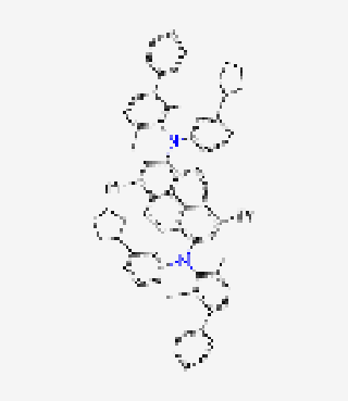 Cc1ccc(-c2ccccc2)c(C)c1N(c1cccc(C2CCCC2)c1)c1cc(C(C)C)c2ccc3c(N(c4cccc(C5CCCC5)c4)c4c(C)ccc(-c5ccccc5)c4C)cc(C(C)C)c4ccc1c2c43